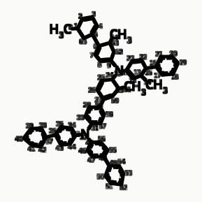 CC1C=CC=C(C2=CC=C(N(C3=CC(C)C(c4ccccc4)C=C3)C3C=CC(c4ccc(N(c5ccc(-c6ccccc6)cc5)c5ccc(-c6ccccc6)cc5)cc4)=CC3C)CC2C)C1